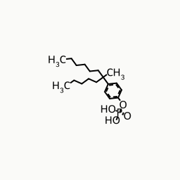 CCCCCCC(C)(CCCCC)c1ccc(OP(=O)(O)O)cc1